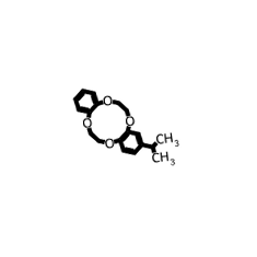 CC(C)c1ccc2c(c1)OCCOc1ccccc1OCCO2